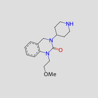 COCCN1C(=O)N(C2CCNCC2)Cc2ccccc21